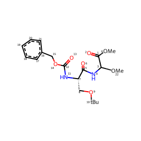 COC(=O)C(NC(=O)[C@H](COC(C)(C)C)NC(=O)OCc1ccccc1)OC